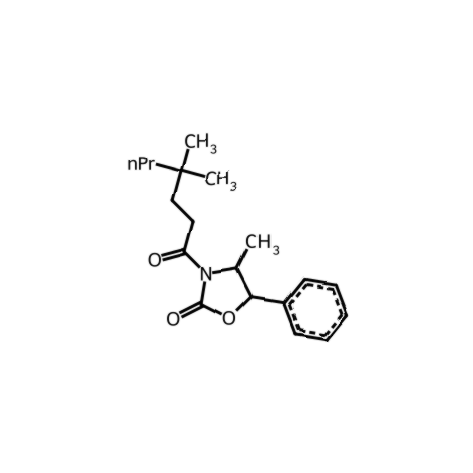 CCCC(C)(C)CCC(=O)N1C(=O)OC(c2ccccc2)C1C